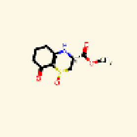 COC(=O)[C@@H]1C[S+]([O-])C2=C(CCCC2=O)N1